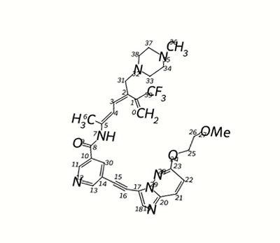 C=C(/C(=C\C=C(/C)NC(=O)c1cncc(C#Cc2cnc3ccc(OCCOC)nn23)c1)CN1CCN(C)CC1)C(F)(F)F